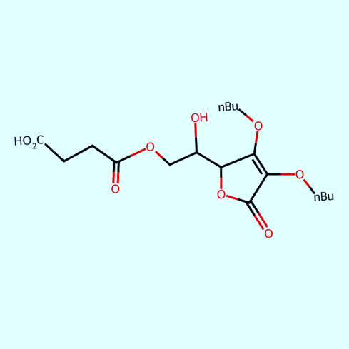 CCCCOC1=C(OCCCC)C(C(O)COC(=O)CCC(=O)O)OC1=O